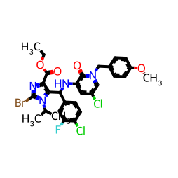 CCOC(=O)c1nc(Br)n(C(C)C)c1C(Nc1cc(Cl)cn(Cc2ccc(OC)cc2)c1=O)c1ccc(Cl)c(F)c1